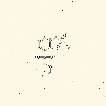 COCS(=O)(=O)c1cccc(CS(=O)(=O)O)c1